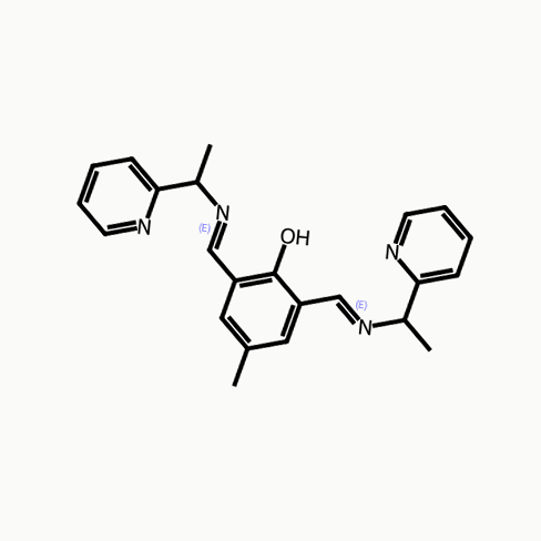 Cc1cc(/C=N/C(C)c2ccccn2)c(O)c(/C=N/C(C)c2ccccn2)c1